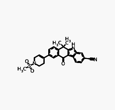 CC1(C)c2ccc(C3=CCN(S(C)(=O)=O)CC3)cc2C(=O)c2c1[nH]c1cc(C#N)ccc21